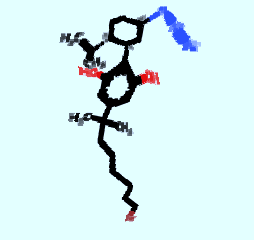 CC(C)[C@@H]1CC[C@@H](N=[N+]=[N-])C[C@H]1c1c(O)cc(C(C)(C)CCCCCCBr)cc1O